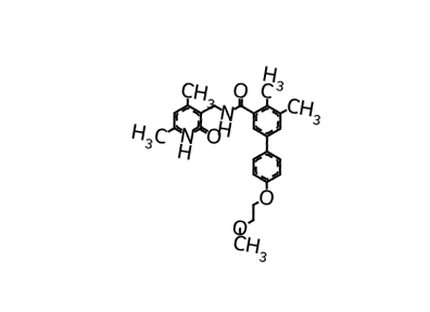 COCCOc1ccc(-c2cc(C)c(C)c(C(=O)NCc3c(C)cc(C)[nH]c3=O)c2)cc1